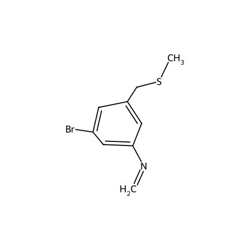 C=Nc1cc(Br)cc(CSC)c1